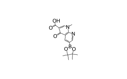 Cn1cc(C(=O)O)c(=O)c2cc(B3OC(C)(C)C(C)(C)O3)cnc21